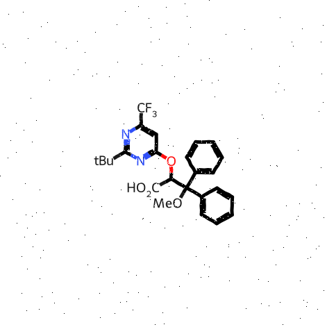 COC(c1ccccc1)(c1ccccc1)C(Oc1cc(C(F)(F)F)nc(C(C)(C)C)n1)C(=O)O